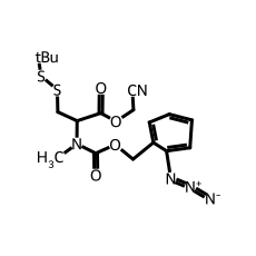 CN(C(=O)OCc1ccccc1N=[N+]=[N-])C(CSSC(C)(C)C)C(=O)OCC#N